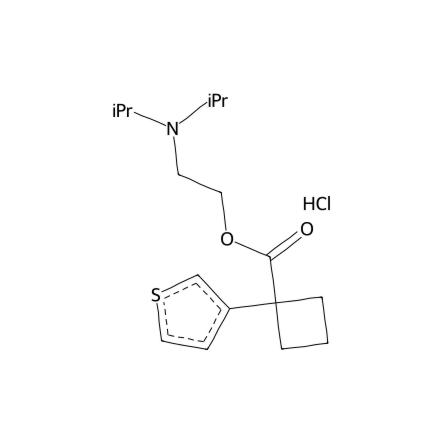 CC(C)N(CCOC(=O)C1(c2ccsc2)CCC1)C(C)C.Cl